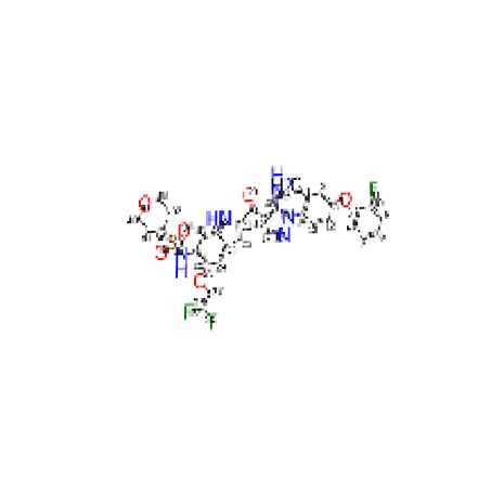 Cc1cc(Oc2ccccc2F)ccc1-n1ncc(C(=O)c2cc3cc(OCC(F)F)c(NS(=O)(=O)C4CCOCC4)cc3[nH]2)c1N